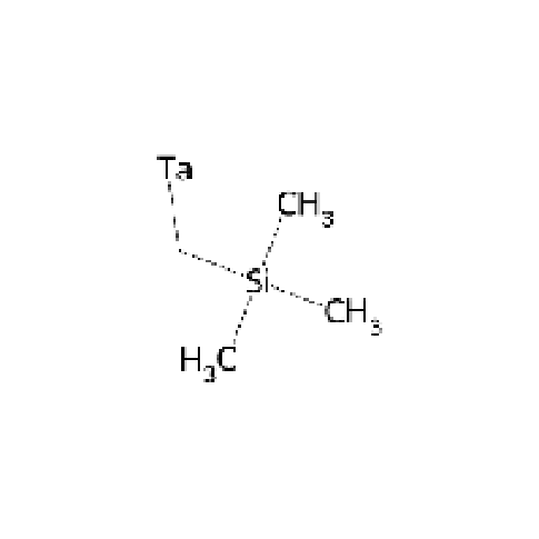 C[Si](C)(C)[CH2][Ta]